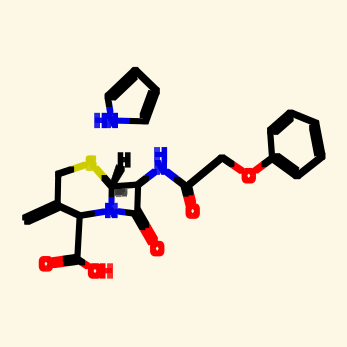 C=C1CS[C@@H]2C(NC(=O)COc3ccccc3)C(=O)N2C1C(=O)O.c1cc[nH]c1